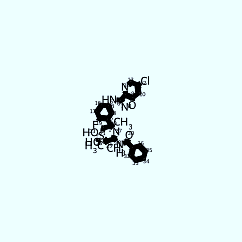 CC1(c2cc(Nc3noc4cc(Cl)cnc34)ccc2F)CS(O)(O)C(C)(C)C(NC(=O)c2ccccc2)=N1